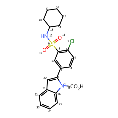 O=C(O)n1c(-c2ccc(Cl)c(S(=O)(=O)NC3CCCCC3)c2)cc2ccccc21